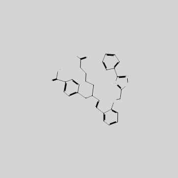 O=C(O)CCCCC(/C=C/c1ccccc1OCc1nc(-c2ccccc2)no1)Cc1ccc(C(=O)O)cc1